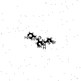 O=C(NCC1CCCNC1)c1ccnc2[nH]c(-c3ccc(Br)s3)nc12